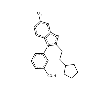 O=C(O)c1cccc(-n2c(CCC3CCCC3)nc3cc(C(F)(F)F)ccc32)c1